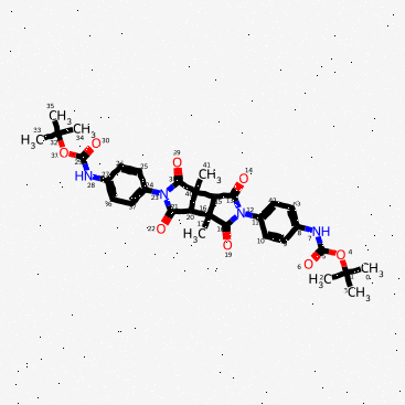 CC(C)(C)OC(=O)Nc1ccc(N2C(=O)C3C(C)(C2=O)C2C(=O)N(c4ccc(NC(=O)OC(C)(C)C)cc4)C(=O)C32C)cc1